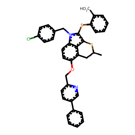 CC1Cc2c(OCc3ccc(-c4ccccc4)cn3)ccc3c2c(c(Sc2ccccc2C(=O)O)n3Cc2ccc(Cl)cc2)S1